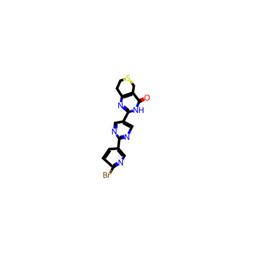 O=c1[nH]c(-c2cnc(-c3ccc(Br)nc3)nc2)nc2c1CSCC2